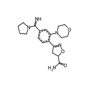 N=C(c1ccc(C2=NOC(C(N)=O)C2)c(N2CCOCC2)c1)N1CCCC1